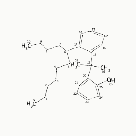 CCCCCCC(CCCC)c1ccccc1C(C)(C)c1ccccc1O